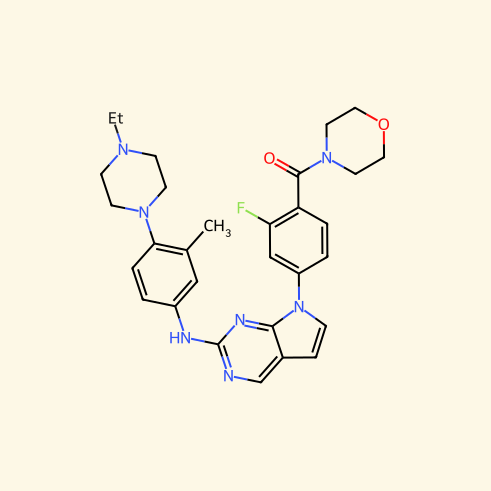 CCN1CCN(c2ccc(Nc3ncc4ccn(-c5ccc(C(=O)N6CCOCC6)c(F)c5)c4n3)cc2C)CC1